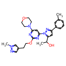 Cc1cccc(-c2cc(C(C)O)n(-c3cc(N4CCOCC4)nc(OCCc4cnn(C)c4)n3)n2)c1